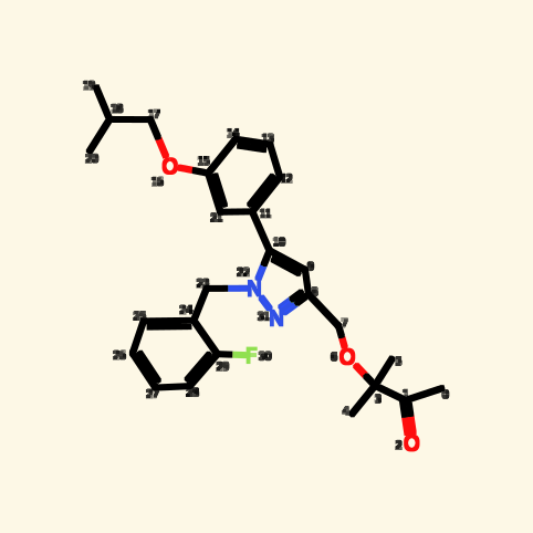 CC(=O)C(C)(C)OCc1cc(-c2cccc(OCC(C)C)c2)n(Cc2ccccc2F)n1